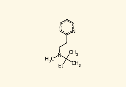 CCC(C)(C)N(C)CCc1ccccn1